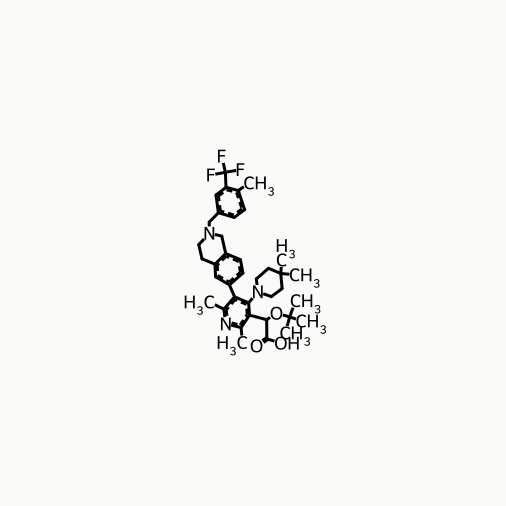 Cc1ccc(CN2CCc3cc(-c4c(C)nc(C)c(C(OC(C)(C)C)C(=O)O)c4N4CCC(C)(C)CC4)ccc3C2)cc1C(F)(F)F